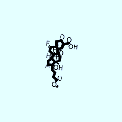 COC(=O)CCC[C@@]1(O)[C@H](C)C[C@H]2[C@@H]3C[C@H](F)C4=CC(=O)C(C(=O)O)=C[C@]4(C)[C@@]34O[C@H]4C[C@@]21C